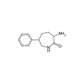 NC1CCC(c2ccccc2)CNC1=O